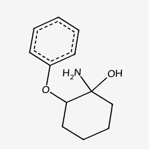 NC1(O)CCCCC1Oc1ccccc1